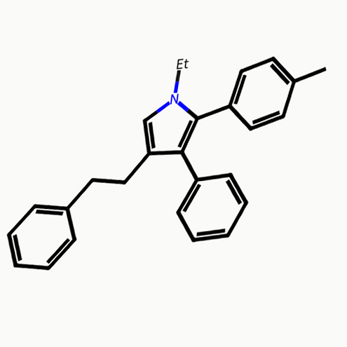 CCn1cc(CCc2ccccc2)c(-c2ccccc2)c1-c1ccc(C)cc1